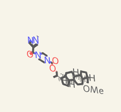 COC1C[C@H]2[C@@H]3CC[C@H](C(C)COC(=O)N4CCN(C(=O)c5cnn(C)c5)CC4)[C@@]3(C)CC[C@@H]2[C@@]2(C)CC[C@@H]3C[C@@]132